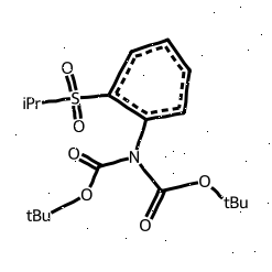 CC(C)S(=O)(=O)c1ccccc1N(C(=O)OC(C)(C)C)C(=O)OC(C)(C)C